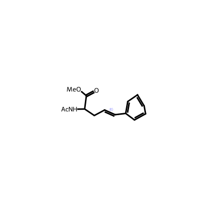 COC(=O)C(C/C=C/c1ccccc1)NC(C)=O